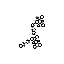 c1cc(-c2ccc3c(c2)C2(c4ccccc4-c4ccccc42)c2ccccc2C32c3ccccc3-c3ccccc32)cc(-c2nc3ccc(-c4cccc5c4-c4ccc(-c6ccc(-c7nc8ccccc8s7)cc6)cc4C54c5ccccc5C5(c6ccccc6-c6ccccc65)c5ccccc54)cc3o2)c1